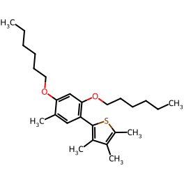 CCCCCCOc1cc(OCCCCCC)c(-c2sc(C)c(C)c2C)cc1C